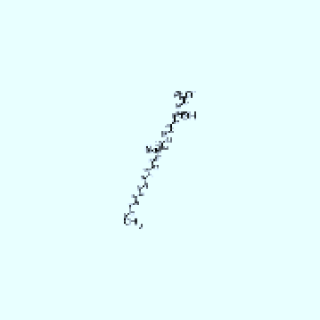 CCCCCCCCCCCCCCCCCCCCCCCCC(O)CCC(=O)[O-].[Na+]